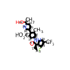 Cc1cc(NC(=O)C2(c3ccc(C(F)(F)F)cc3F)CC2)cc(C(=O)O)c1-c1ccc(C(C)O)nc1